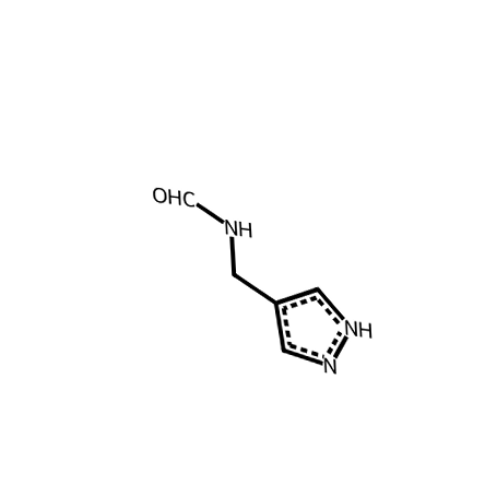 O=CNCc1cn[nH]c1